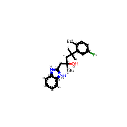 CCc1ccc(F)cc1C(C)(C)CC(O)(Cc1nc2ccccc2[nH]1)C(C)(C)C